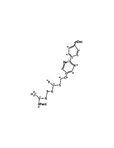 CCCCCCCCCCc1ccc(-c2ncc(OCCC(F)CCCC(C)CCCCC)cn2)cc1